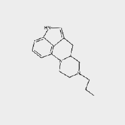 CCCN1CCN2c3cccc4[nH]cc(c34)CC2C1